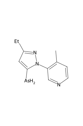 CCc1cc([AsH2])n(-c2cnccc2C)n1